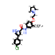 COc1cc(NC(=O)c2cc(-c3ccc(Cl)cc3)c[nH]2)ccc1OCCN1CCCC1